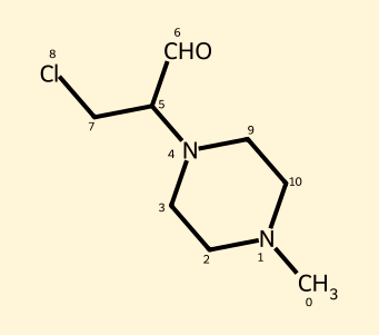 CN1CCN(C(C=O)CCl)CC1